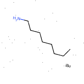 CC[C@H](C)C(C)CCCCCCN